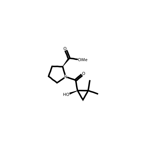 COC(=O)[C@@H]1CCCN1C(=O)[C@@]1(O)CC1(C)C